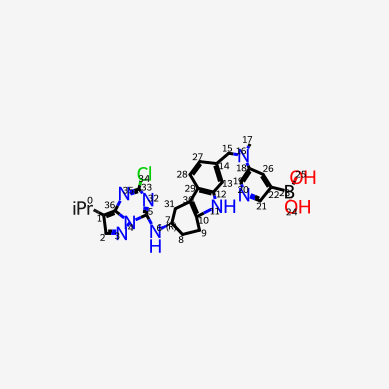 CC(C)c1cnn2c(N[C@@H]3CCc4[nH]c5cc(CN(C)c6cncc(B(O)O)c6)ccc5c4C3)nc(Cl)nc12